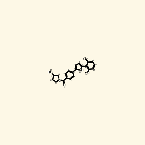 O=C(c1ccc(-c2ccc(-c3c(Cl)cccc3Cl)[nH]2)cc1)N1CCC(O)C1